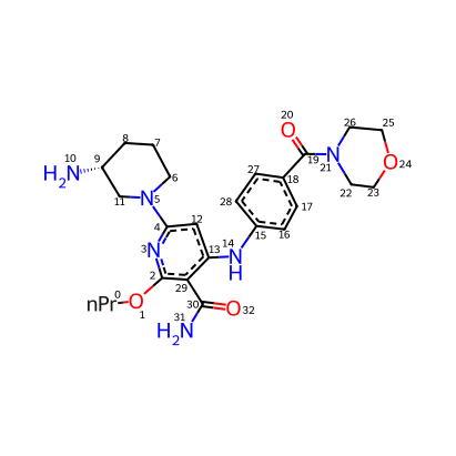 CCCOc1nc(N2CCC[C@@H](N)C2)cc(Nc2ccc(C(=O)N3CCOCC3)cc2)c1C(N)=O